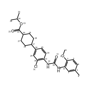 COc1ccc(C)cc1NC(=O)Nc1ccc(C2CCC(C(=O)OC(C)C)CC2)cc1Cl